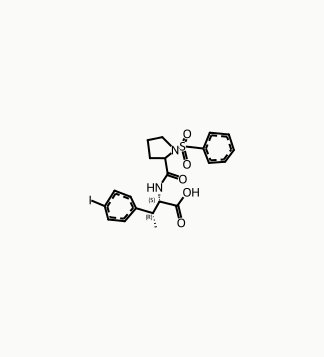 C[C@H](c1ccc(I)cc1)[C@H](NC(=O)C1CCCN1S(=O)(=O)c1ccccc1)C(=O)O